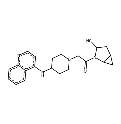 N#CC1CC2CC2N1C(=O)CN1CCC(Nc2ccnc3ccccc23)CC1